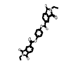 CCN1C(=O)c2ccc(C(=O)Oc3ccc(OC(=O)c4ccc5c(c4)C(=O)N(CC)C5=O)cc3)cc2C1=O